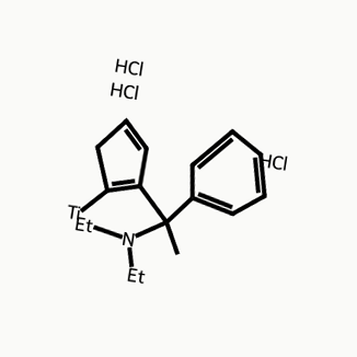 CCN(CC)C(C)(C1=[C]([Ti])CC=C1)c1ccccc1.Cl.Cl.Cl